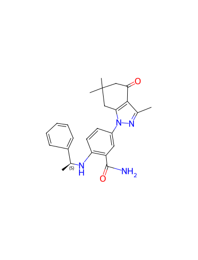 Cc1nn(-c2ccc(N[C@@H](C)c3ccccc3)c(C(N)=O)c2)c2c1C(=O)CC(C)(C)C2